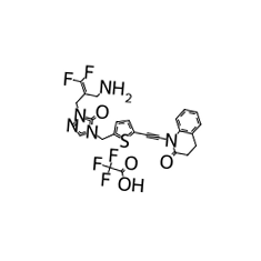 NCC(Cn1ncn(Cc2ccc(C#CN3C(=O)CCc4ccccc43)s2)c1=O)=C(F)F.O=C(O)C(F)(F)F